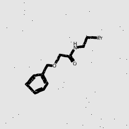 CC(C)CCNC(=O)COCc1ccccc1